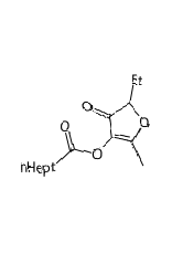 CCCCCCCC(=O)OC1=C(C)OC(CC)C1=O